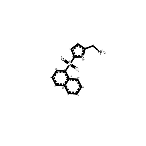 NCc1ccc(S(=O)(=O)c2cccc3ccccc23)s1